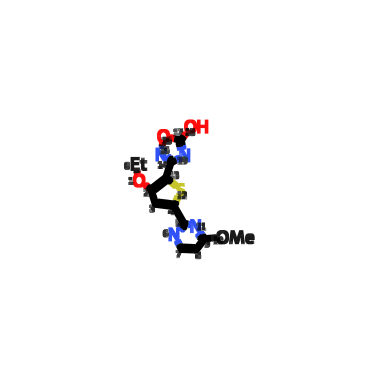 CCOc1cc(-c2nccc(OC)n2)sc1-c1noc(O)n1